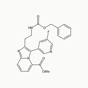 COC(=O)c1cccc2nc(CCNC(=O)OCc3ccccc3)c(-c3cncc(F)c3)n12